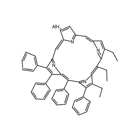 CCC1=CC2=CC3=NC(=CC4=NC(=C(c5ccccc5)C5=NC(=C(CC)C1=N2)C(CC)=C5c1ccccc1)C(c1ccccc1)=C4c1ccccc1)C=C3.[AlH3]